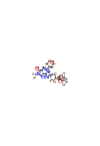 CC(C)N1Cc2c(Nc3ccc(B4OC(C)(C)C(C)(C)O4)cc3)nc(C3=CCOCC3)nc2C1=O